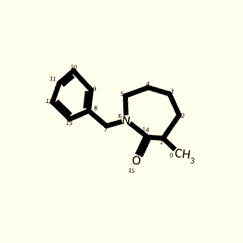 CC1CCCCN(Cc2ccccc2)C1=O